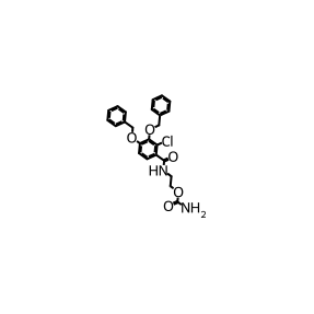 NC(=O)OCCNC(=O)c1ccc(OCc2ccccc2)c(OCc2ccccc2)c1Cl